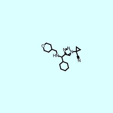 N#CC1(n2cc(C(NCC3CCOCC3)C3CCCCC3)nn2)CC1